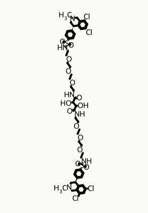 CN1Cc2c(Cl)cc(Cl)cc2[C@H](c2ccc(S(=O)(=O)NCCOCCOCCOCCNC(=O)C(O)C(O)C(=O)NCCOCCOCCOCCNS(=O)(=O)c3ccc([C@@H]4CN(C)Cc5c(Cl)cc(Cl)cc54)cc3)cc2)C1